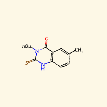 CCCCn1c(=S)[nH]c2ccc(C)cc2c1=O